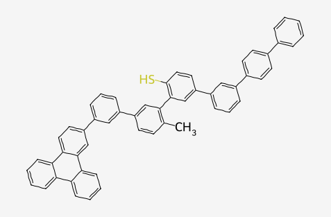 Cc1ccc(-c2cccc(-c3ccc4c5ccccc5c5ccccc5c4c3)c2)cc1-c1cc(-c2cccc(-c3ccc(-c4ccccc4)cc3)c2)ccc1S